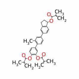 C=C(C)C(=O)Oc1ccc(-c2ccc(-c3ccc4c(c3)CCC4OC(=O)C(=C)C)cc2C)cc1OC(=O)C(=C)C